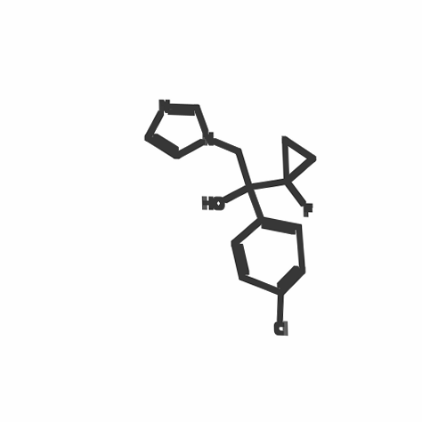 OC(Cn1ccnc1)(c1ccc(Cl)cc1)C1(F)CC1